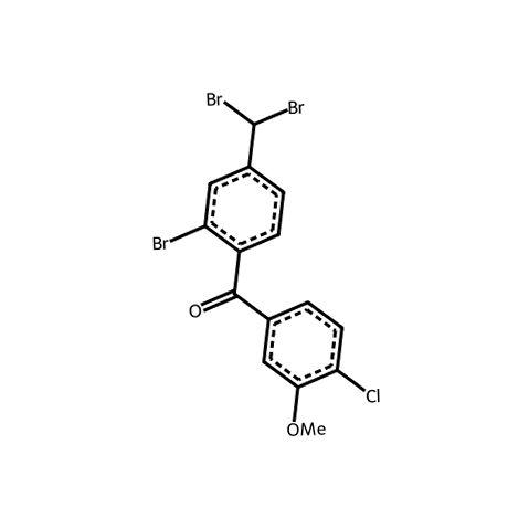 COc1cc(C(=O)c2ccc(C(Br)Br)cc2Br)ccc1Cl